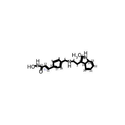 CC1=C(CCNCc2ccc(/C=C/C(=O)NO)cc2)C2C=CC=CC2N1